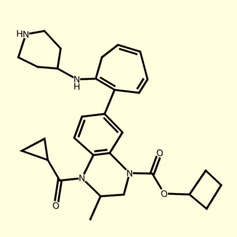 CC1CN(C(=O)OC2CCC2)c2cc(C3=C(NC4CCNCC4)CC=CC=C3)ccc2N1C(=O)C1CC1